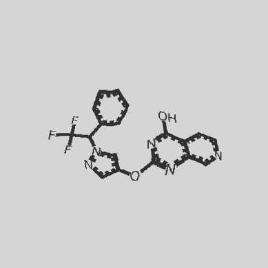 Oc1nc(Oc2cnn(C(c3ccccc3)C(F)(F)F)c2)nc2cnccc12